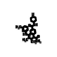 CC(=O)N1c2ccc(C(=O)NC3CCNCC3)cc2[C@H](Nc2cccc(C)n2)[C@@H](C)[C@@H]1C